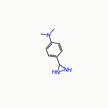 CN(C)c1ccc(C2NN2)cc1